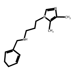 Cc1ncn(CCCNCC2=CCCC=C2)c1C